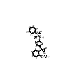 COc1ccccc1C1(c2cnc(NS(=O)(=O)c3ccccc3)s2)CC1